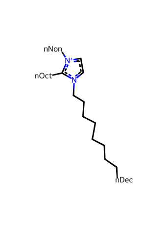 CCCCCCCCCCCCCCCCCCn1cc[n+](CCCCCCCCC)c1CCCCCCCC